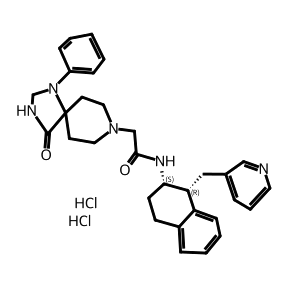 Cl.Cl.O=C(CN1CCC2(CC1)C(=O)NCN2c1ccccc1)N[C@H]1CCc2ccccc2[C@H]1Cc1cccnc1